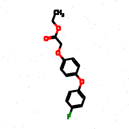 CCOC(=O)COc1ccc(Oc2ccc(F)cc2)cc1